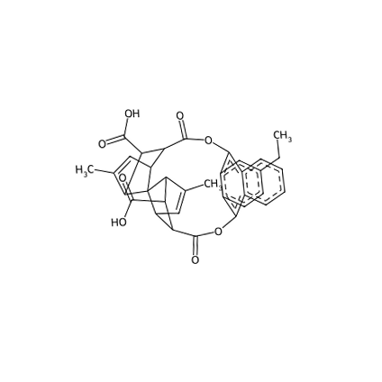 CCc1ccc2c3c4ccccc4c(c2c1)OC(=O)C1C(C(=O)O)C2C(C)=CC1C21C2C=C(C)C1C(C(=O)O)C2C(=O)O3